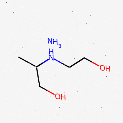 CC(CO)NCCO.N